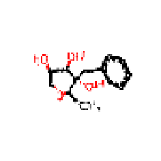 CC1OCC(O)[C@@H](O)[C@@]1(O)Cc1ccccc1